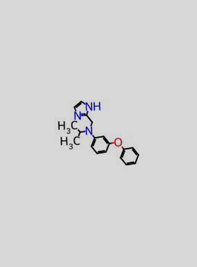 CC(C)N(Cc1ncc[nH]1)c1cccc(Oc2ccccc2)c1